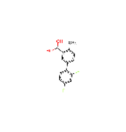 CC(=O)Oc1ccc(-c2ccc(F)cc2F)cc1C(O)O